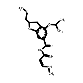 CN/C=C\C(=N)NC(=O)c1cc(OC(C)C)c2c(c1)OC(COC)C2